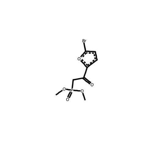 COP(=O)(CC(=O)c1ccc(Br)o1)OC